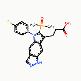 CP(C)(=O)c1c(CCC(=O)O)c2cc3[nH]ncc3cc2n1-c1ccc(F)cc1